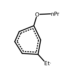 C[CH]c1cccc(OCCC)c1